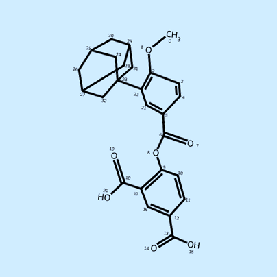 COc1ccc(C(=O)Oc2ccc(C(=O)O)cc2C(=O)O)cc1C12CC3CC(CC(C3)C1)C2